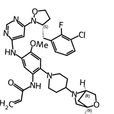 C=CC(=O)Nc1cc(Nc2cc(N3OCC[C@@H]3Cc3cccc(Cl)c3F)ncn2)c(OC)cc1N1CCC(N2C[C@H]3C[C@@H]2CO3)CC1